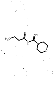 CCCC(=O)NC(=N)N1CCOCC1